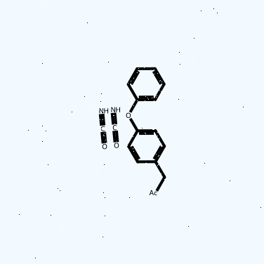 CC(=O)Cc1ccc(Oc2ccccc2)cc1.N=C=O.N=C=O